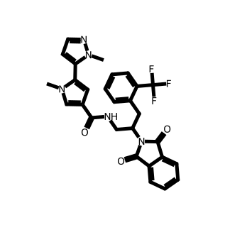 Cn1cc(C(=O)NCC(Cc2ccccc2C(F)(F)F)N2C(=O)c3ccccc3C2=O)cc1-c1ccnn1C